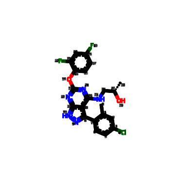 Cc1cc(Cl)ccc1-c1n[nH]c2nc(Oc3ccc(F)cc3F)nc(NC[C@H](C)O)c12